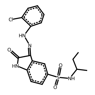 CCC(C)NS(=O)(=O)c1ccc2c(c1)/C(=N/Nc1ccccc1Cl)C(=O)N2